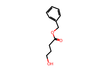 O=C(CCCO)OCc1ccccc1